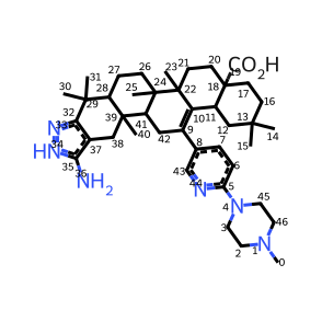 CN1CCN(c2ccc(C3=C4C5CC(C)(C)CCC5(C(=O)O)CCC4(C)C4(C)CCC5C(C)(C)c6n[nH]c(N)c6CC5(C)C4C3)cn2)CC1